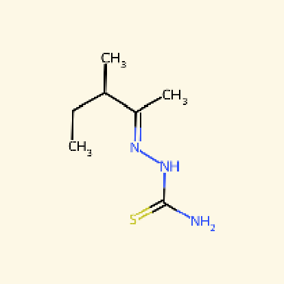 CCC(C)C(C)=NNC(N)=S